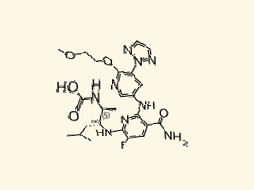 COCCOc1ncc(Nc2nc(N[C@H](CC(C)C)[C@H](C)NC(=O)O)c(F)cc2C(N)=O)cc1-n1nccn1